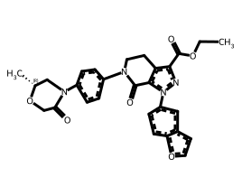 CCOC(=O)c1nn(-c2ccc3occc3c2)c2c1CCN(c1ccc(N3C[C@@H](C)OCC3=O)cc1)C2=O